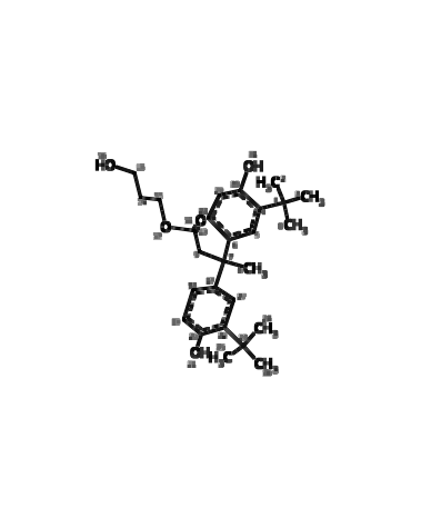 CC(C)(C)c1cc(C(C)(CC(=O)OCCCO)c2ccc(O)c(C(C)(C)C)c2)ccc1O